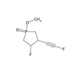 COP1(=O)CC(F)C(C#CF)C1